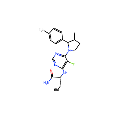 CC1CCN(c2ncnc(N[C@H](CC(C)(C)C)C(N)=O)c2F)C1c1ccc(C(F)(F)F)cc1